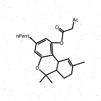 CCCCCc1cc(OC(=O)CC(C)=O)c2c(c1)OC(C)(C)C1CCC(C)=CC21